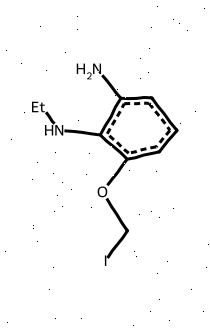 CCNc1c(N)cccc1OCI